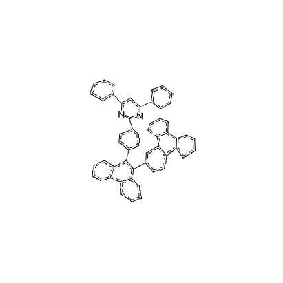 c1ccc(-c2cc(-c3ccccc3)nc(-c3ccc(-c4c(-c5ccc6c7ccccc7c7ccccc7c6c5)c5ccccc5c5ccccc45)cc3)n2)cc1